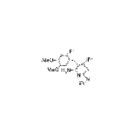 COc1cc(Cc2c(N)nc(NC(C)C)nc2C(C)C)c(C(C)C)cc1OC